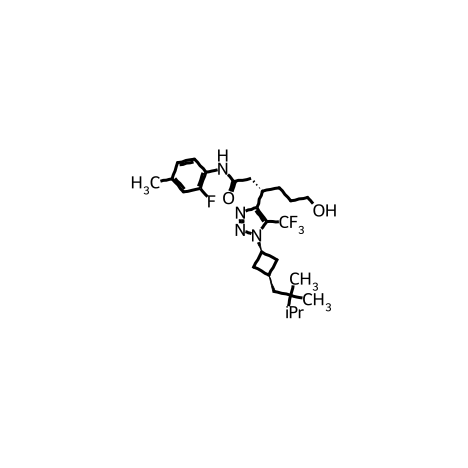 Cc1ccc(NC(=O)C[C@H](CCCO)c2nnn([C@H]3C[C@@H](CC(C)(C)C(C)C)C3)c2C(F)(F)F)c(F)c1